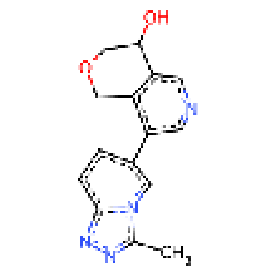 Cc1nnc2ccc(-c3cncc4c3COCC4O)cn12